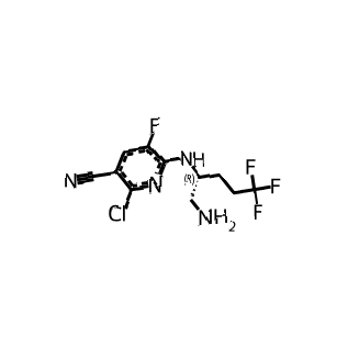 N#Cc1cc(F)c(N[C@@H](CN)CCC(F)(F)F)nc1Cl